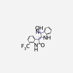 O=C1Nc2c(cccc2C(F)(F)F)/C1=C1/Nc2ccccc2/C1=N\O